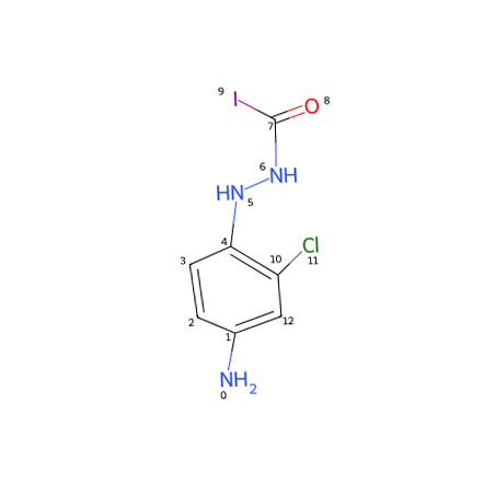 Nc1ccc(NNC(=O)I)c(Cl)c1